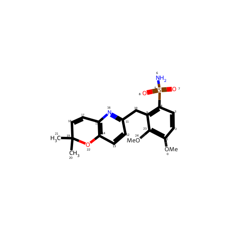 COc1ccc(S(N)(=O)=O)c(Cc2ccc3c(n2)C=CC(C)(C)O3)c1OC